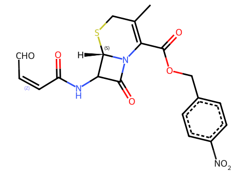 CC1=C(C(=O)OCc2ccc([N+](=O)[O-])cc2)N2C(=O)C(NC(=O)/C=C\C=O)[C@@H]2SC1